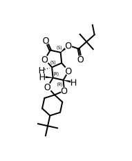 CCC(C)(C)C(=O)O[C@@H]1C(=O)O[C@H]2C1O[C@@H]1OC3(CCC(C(C)(C)C)CC3)O[C@@H]12